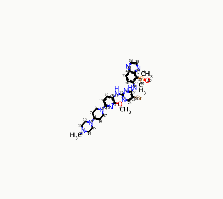 COc1nc(N2CCC(N3CCN(C)CC3)CC2)ccc1Nc1ncc(Br)c(Nc2ccc3nccnc3c2P(C)(C)=O)n1